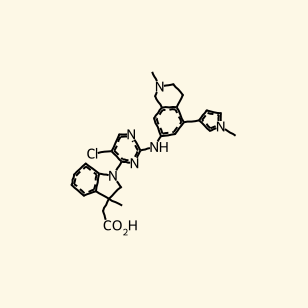 CN1CCc2c(cc(Nc3ncc(Cl)c(N4CC(C)(CC(=O)O)c5ccccc54)n3)cc2-c2ccn(C)c2)C1